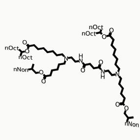 CCCCCCCCCC(C)COC(=O)CCCCCN(CCCCCCCC(=O)OC(CCCCCCCC)CCCCCCCC)CCNC(=O)CCC(=O)NCCN(CCCCCCCC(=O)OC(CCCCCCCC)CCCCCCCC)CCCCCC(=O)OCC(C)CCCCCCCCC